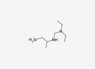 CCN(CC)CNC(C)C[SiH3]